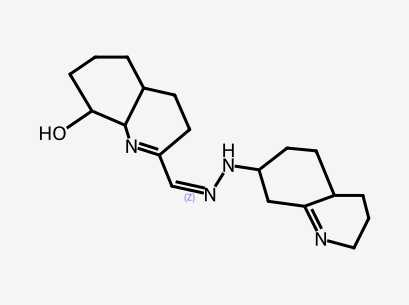 OC1CCCC2CCC(/C=N\NC3CCC4CCCN=C4C3)=NC12